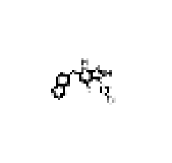 O=c1cc(Cc2ccc3ccccc3c2)[nH]c2n[nH]c([C@H]3C[C@@H](O)C3)c12